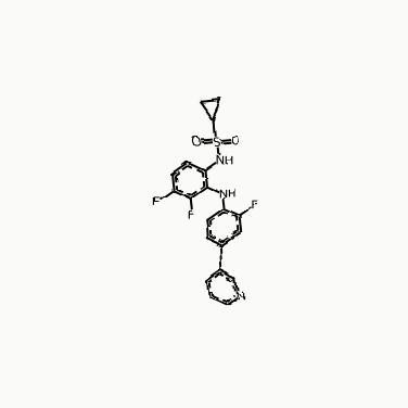 O=S(=O)(Nc1ccc(F)c(F)c1Nc1ccc(-c2cccnc2)cc1F)C1CC1